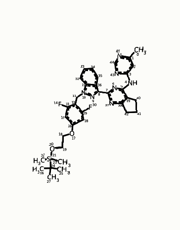 Cc1cc(Nc2nc(-c3nn(Cc4c(F)cc(OCCO[Si](C)(C)C(C)(C)C)cc4F)c4ccccc34)nc3c2CCC3)ncn1